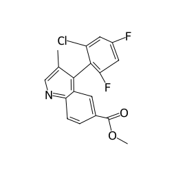 COC(=O)c1ccc2ncc(C)c(-c3c(F)cc(F)cc3Cl)c2c1